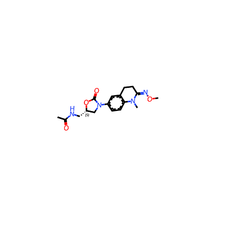 CON=C1CCc2cc(N3C[C@H](CNC(C)=O)OC3=O)ccc2N1C